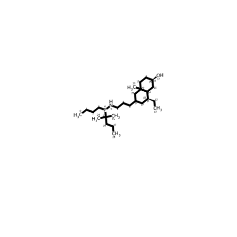 CCCCP(NCCCC1C[C@H](CC)C2C[C@H](O)CCC2(C)C1)C(C)(C)CCC